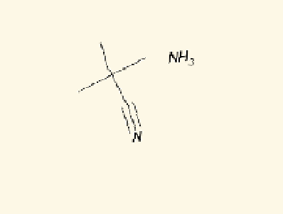 CC(C)(C)C#N.N